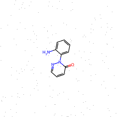 Nc1ccccc1-n1ncccc1=O